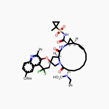 COc1ccc2nc(C(C)C)c3c(c2c1)C(F)(F)C[C@]1(C[C@H]2C(=O)N[C@]4(C(=O)NS(=O)(=O)C5(C)CC5)C[C@H]4/C=C\CCCCC[C@H](N(CC(C)C)C(=O)O)C(=O)N2C1)O3